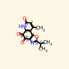 Cc1cc(=O)[nH]c2c1-c1oc(C(C)C)nc1C(=O)C2=O